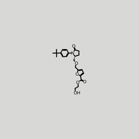 CC(C)(C)c1ccc(N2C(=O)CC[C@H]2COCc2ccc(C(=O)OCCO)o2)cc1